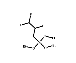 CCO[Si](CC(F)C(F)F)(OCC)OCC